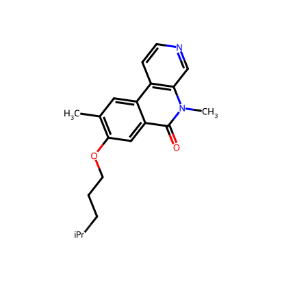 Cc1cc2c(cc1OCCCC(C)C)c(=O)n(C)c1cnccc21